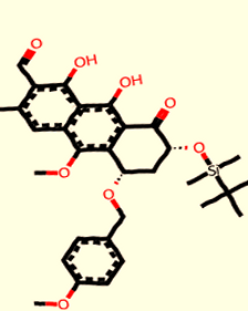 COc1ccc(CO[C@H]2C[C@@H](O[Si](C)(C)C(C)(C)C)C(=O)c3c2c(OC)c2cc(C)c(C=O)c(O)c2c3O)cc1